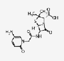 CC1(C)S[C@@H]2C(NC(=O)Cn3cc(N)ccc3=O)C(=O)N2[C@H]1C(=O)O